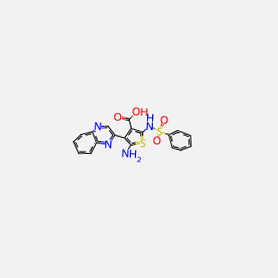 Nc1sc(NS(=O)(=O)c2ccccc2)c(C(=O)O)c1-c1cnc2ccccc2n1